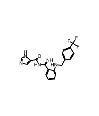 N=C(NC(=O)c1cnc[nH]1)c1ccccc1NCc1ccc(C(F)(F)F)cc1